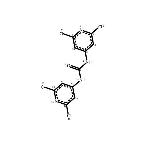 O=C(Nc1cc(Cl)nc(Cl)c1)Nc1cc(Cl)nc(Cl)c1